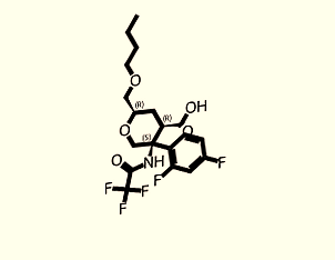 CCCCOC[C@H]1C[C@@H](C(=O)O)[C@](NC(=O)C(F)(F)F)(c2ccc(F)cc2F)CO1